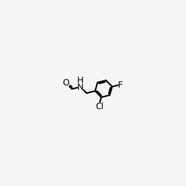 O=CNCc1ccc(F)cc1Cl